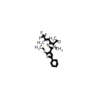 CCSc1sc(-c2ccccc2)cc1-c1nc(/C=C(\C)C(F)(F)F)c(C(C)=O)n1C